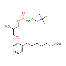 CCCCCCCCCCCCCCCCc1ccccc1OCC(COP(O)OCC[N+](C)(C)C)OC(C)=O